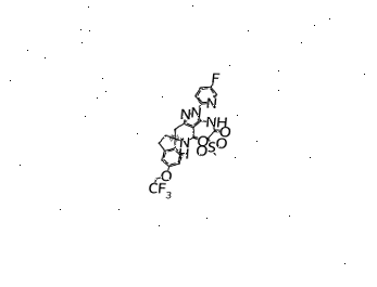 CS(=O)(=O)CC(=O)Nc1c2c(nn1-c1ccc(F)cn1)C[C@@]1(CCc3cc(OCC(F)(F)F)ccc31)NC2=O